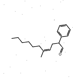 CCCCCCC(C)=CCC(C=O)c1ccccc1